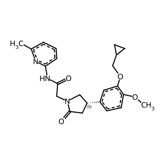 COc1ccc([C@@H]2CC(=O)N(CC(=O)Nc3cccc(C)n3)C2)cc1OCC1CC1